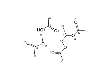 CC(=O)O.CC(=O)OCC(C)OC(C)=O.COC(C)=O